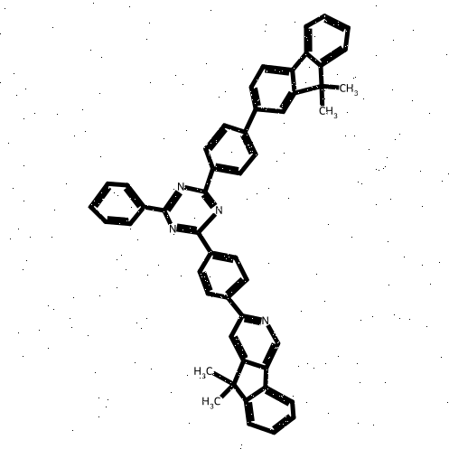 CC1(C)c2ccccc2-c2ccc(-c3ccc(-c4nc(-c5ccccc5)nc(-c5ccc(-c6cc7c(cn6)-c6ccccc6C7(C)C)cc5)n4)cc3)cc21